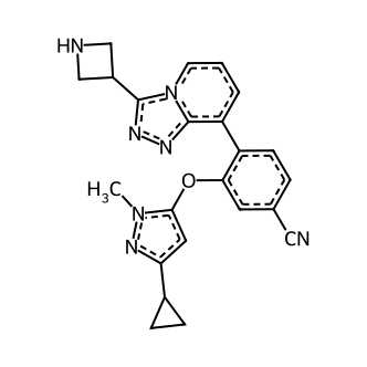 Cn1nc(C2CC2)cc1Oc1cc(C#N)ccc1-c1cccn2c(C3CNC3)nnc12